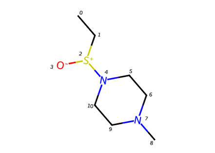 CC[S+]([O-])N1CCN(C)CC1